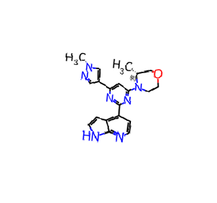 C[C@@H]1COCCN1c1cc(-c2cnn(C)c2)nc(-c2ccnc3[nH]ccc23)n1